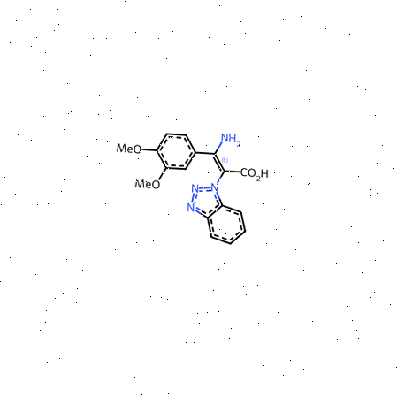 COc1ccc(/C(N)=C(/C(=O)O)n2nnc3ccccc32)cc1OC